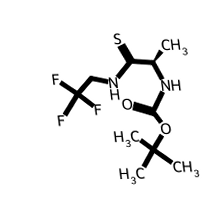 C[C@@H](NC(=O)OC(C)(C)C)C(=S)NCC(F)(F)F